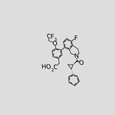 O=C(O)Cc1ccc(OCC(F)(F)F)c(-c2ccc(F)c3c2CN(C(=O)[C@@H]2C[C@H]2c2ccccc2)CC3)c1